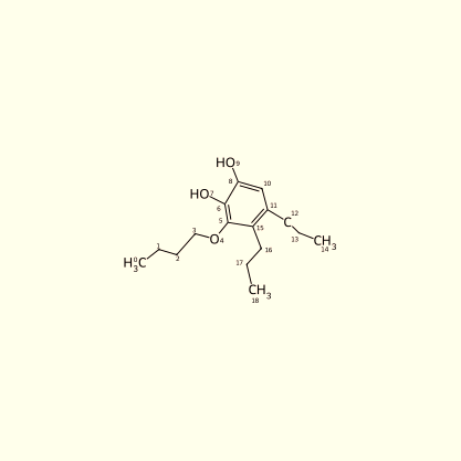 CCCCOc1c(O)c(O)cc(CCC)c1CCC